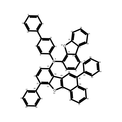 c1ccc(-c2ccc(N(c3cccc4c3oc3ccccc34)c3ccc(-c4ccccc4)c4oc5c6ccccc6c(-c6ccccc6)cc5c34)cc2)cc1